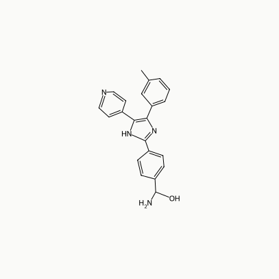 Cc1cccc(-c2nc(-c3ccc(C(N)O)cc3)[nH]c2-c2ccncc2)c1